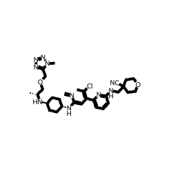 C=N/C(=C\C(=C(/C)Cl)c1cccc(NCC2(C#N)CCOCC2)n1)N[C@H]1CC[C@H](N[C@H](C)COCc2nnnn2C)CC1